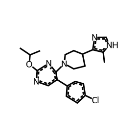 Cc1[nH]cnc1C1CCN(c2nc(OC(C)C)ncc2-c2ccc(Cl)cc2)CC1